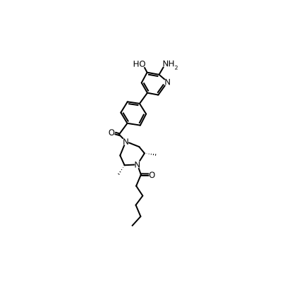 CCCCCC(=O)N1[C@H](C)CN(C(=O)c2ccc(-c3cnc(N)c(O)c3)cc2)C[C@@H]1C